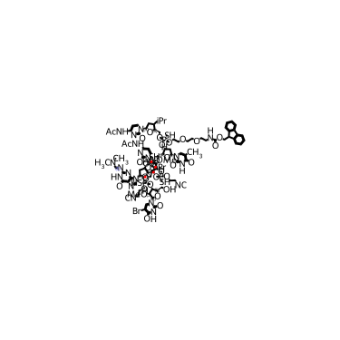 [C-]#[N+]CCO[PH](S)(OC[C@H]1O[C@@H](n2cnc3c(=O)[nH]c(/N=C/N(C)C)nc32)CC1O[PH](S)(OC[C@H]1O[C@@H](n2cc(C)c(=O)[nH]c2=O)CC1O[PH](S)(OCCOCCOCCNC(=O)OCC1c2ccccc2-c2ccccc21)OC[C@H]1O[C@@H](n2ccc(NC(C)=O)nc2=O)CC1C(C)C)SCCC)OC1[C@@H](CO[PH](S)(OCC[N+]#[C-])OC2[C@@H](CO)O[C@@H](n3cc(Br)c(=O)[nH]c3=O)[C@H]2OC)O[C@@H](n2ccc(NC(C)=O)nc2=O)[C@H]1OC